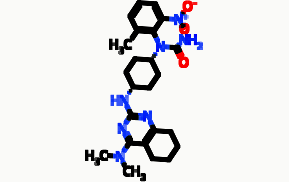 Cc1cccc([N+](=O)[O-])c1N(C(N)=O)[C@H]1CC[C@@H](Nc2nc3c(c(N(C)C)n2)CCCC3)CC1